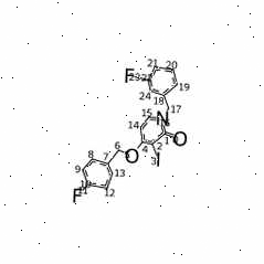 O=c1c(I)c(OCc2ccc(F)cc2)ccn1Cc1cccc(F)c1